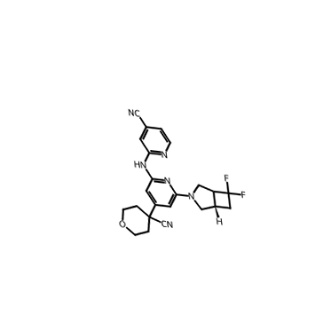 N#Cc1ccnc(Nc2cc(C3(C#N)CCOCC3)cc(N3CC4[C@@H](C3)CC4(F)F)n2)c1